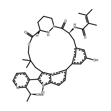 CCn1c(-c2cccnc2[C@H](C)OC)c2c3cc(ccc31)-c1cc(O)cc(c1)C[C@H](NC(=O)C(C)=C(C)C)C(=O)N1CCC[C@H](N1)C(=O)OCC(C)(C)C2